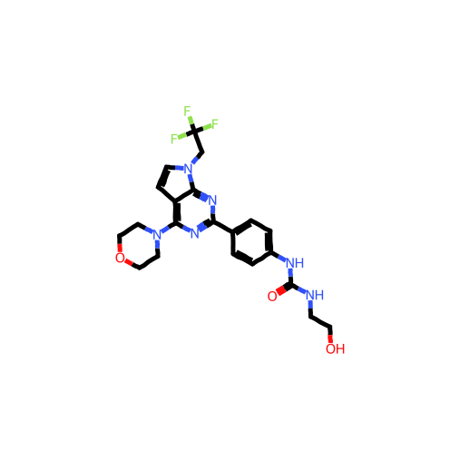 O=C(NCCO)Nc1ccc(-c2nc(N3CCOCC3)c3ccn(CC(F)(F)F)c3n2)cc1